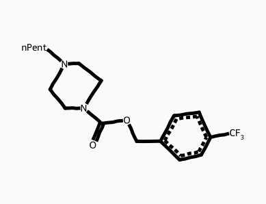 [CH2]CCCCN1CCN(C(=O)OCc2ccc(C(F)(F)F)cc2)CC1